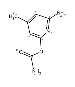 Cc1cc(N)nc(OC(N)=O)c1